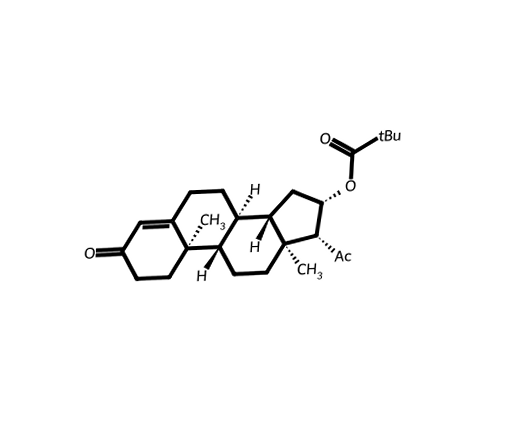 CC(=O)[C@H]1[C@@H](OC(=O)C(C)(C)C)C[C@H]2[C@@H]3CCC4=CC(=O)CC[C@]4(C)[C@H]3CC[C@@]21C